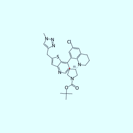 Cn1cc(Cc2cc3nccc(-c4cc(Cl)cc5c4N([C@H]4CCN(C(=O)OC(C)(C)C)C4)CCC5)c3s2)nn1